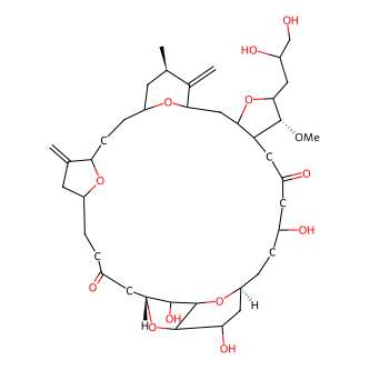 C=C1CC2CCC(=O)C[C@H]3OC4C(O)C[C@H](CCC(O)CC(=O)CC5C(CC6OC(CCC1O2)C[C@@H](C)C6=C)OC(CC(O)CO)[C@@H]5OC)OC4C3O